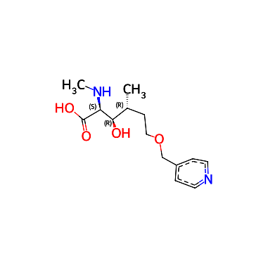 CN[C@H](C(=O)O)[C@H](O)[C@H](C)CCOCc1ccncc1